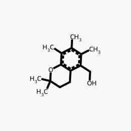 Cc1c(C)c(CO)c2c(c1C)OC(C)(C)CC2